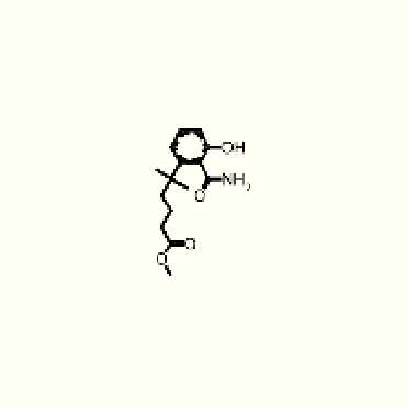 COC(=O)CCCC(C)(C)c1cccc(O)c1C(N)=O